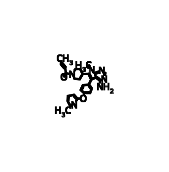 CC#CC(=O)N1CCC(c2c(-c3ccc(Oc4cccc(C)n4)cc3)c3c(N)ncnc3n2C)CC1